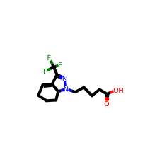 O=C(O)CCCCN1N=C(C(F)(F)F)C2=CCCCC21